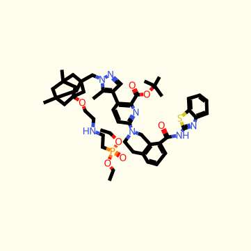 CCOP(=O)(CCNCCOC12CC3(C)CC(C)(CC(Cn4ncc(-c5ccc(N6CCc7cccc(C(=O)Nc8nc9ccccc9s8)c7C6)nc5C(=O)OC(C)(C)C)c4C)(C3)C1)C2)OCC